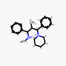 CCCNC(c1ccccc1)C(C)C(c1ccccc1)N1CCCCC1